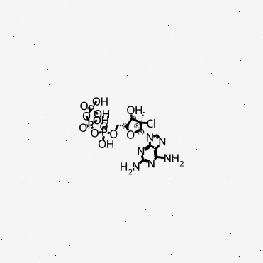 C[C@@]1(Cl)[C@H](O)[C@@H](COP(=O)(O)OP(=O)(O)OP(=O)(O)O)O[C@H]1n1cnc2c(N)nc(N)nc21